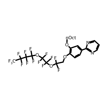 CCCCCCCCOc1cc(-c2ncccn2)ccc1OCC(F)(F)OC(F)(F)C(F)(F)OC(F)(F)C(F)(F)C(F)(F)C(F)(F)F